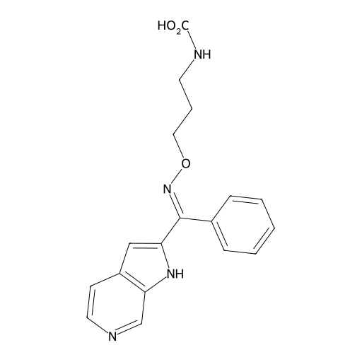 O=C(O)NCCCON=C(c1ccccc1)c1cc2ccncc2[nH]1